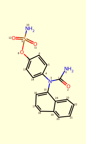 NC(=O)N(c1ccc(OS(N)(=O)=O)cc1)c1cccc2ccccc12